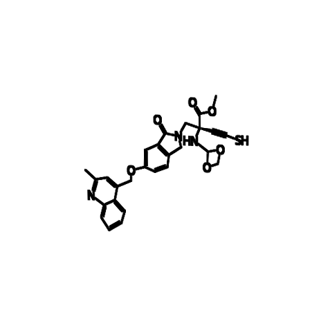 COC(=O)[C@@](C#CS)(CN1Cc2ccc(OCc3cc(C)nc4ccccc34)cc2C1=O)NC1OCO1